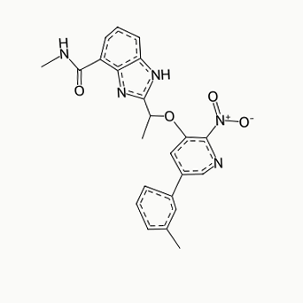 CNC(=O)c1cccc2[nH]c(C(C)Oc3cc(-c4cccc(C)c4)cnc3[N+](=O)[O-])nc12